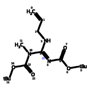 C=CCN/C(=N\C(=O)OC(C)(C)C)N(C)C(=O)OC(C)(C)C